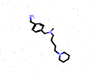 CN(CCCCN1CCCCC1)Cc1ccc(CN)cc1